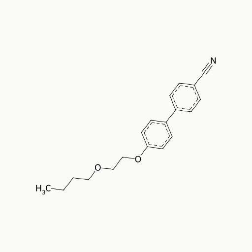 CCCCOCCOc1ccc(-c2ccc(C#N)cc2)cc1